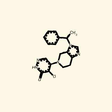 CC(c1ccccc1)n1cnc2c1CN(c1cn[nH]c(=O)c1Cl)CC2